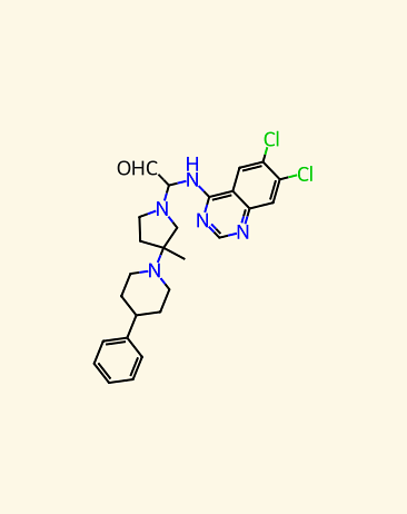 CC1(N2CCC(c3ccccc3)CC2)CCN(C(C=O)Nc2ncnc3cc(Cl)c(Cl)cc23)C1